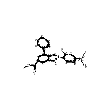 COC(=O)c1cc(-c2ccccc2)c2cn(-c3ccc([N+](=O)[O-])cc3F)nc2c1